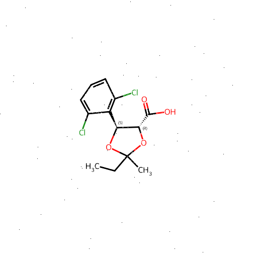 CCC1(C)O[C@@H](C(=O)O)[C@H](c2c(Cl)cccc2Cl)O1